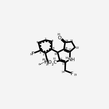 C[C@@H](F)c1c(F)cccc1C1C(C(=O)O)=C(CF)NC2=C1C(=O)CC2